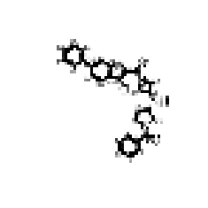 O=C(c1ccccc1)N1CC[C@H](NC2CN(C(=O)c3sc4cc(-c5ccccc5)ccc4c3Cl)C2)C1